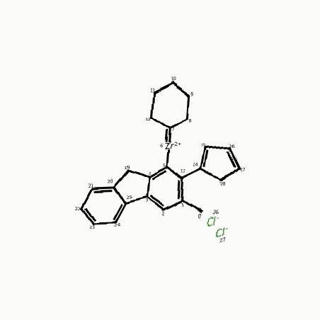 Cc1cc2c([c]([Zr+2]=[C]3CCCCC3)c1C1=CC=CC1)Cc1ccccc1-2.[Cl-].[Cl-]